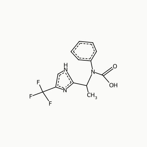 CC(c1nc(C(F)(F)F)c[nH]1)N(C(=O)O)c1ccccc1